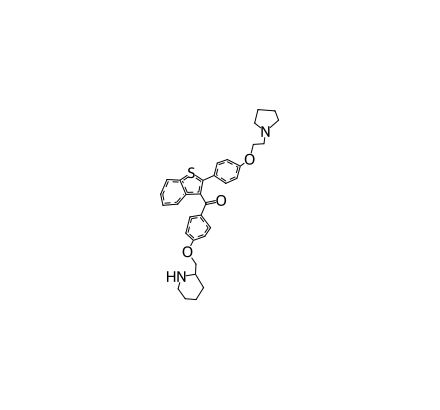 O=C(c1ccc(OCC2CCCCN2)cc1)c1c(-c2ccc(OCCN3CCCC3)cc2)sc2ccccc12